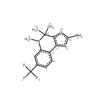 CN1c2cc(C(F)(F)F)ccc2-c2nc(N)sc2C1(C)C